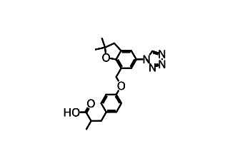 CC(Cc1ccc(OCc2cc(-n3cnnn3)cc3c2OC(C)(C)C3)cc1)C(=O)O